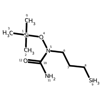 C[Si](C)(C)ON(CCC[SiH3])C(N)=O